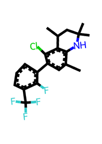 Cc1cc(-c2cccc(C(F)(F)F)c2F)c(Cl)c2c1NC(C)(C)CC2C